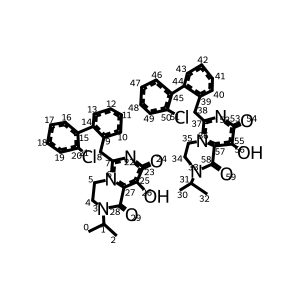 CC(C)N1CCn2c(Cc3ccccc3-c3ccccc3Cl)nc(=O)c(O)c2C1=O.CC(C)N1CCn2c(Cc3ccccc3-c3ccccc3Cl)nc(=O)c(O)c2C1=O